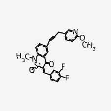 COc1ccc(CC#Cc2ccc3c(c2)C(=O)/C(=C\c2ccc(F)c(F)c2)[S+]([O-])N3C)cn1